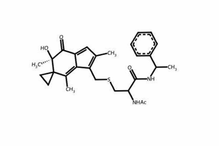 CC(=O)NC(CSCC1=C(C)C=C2C(=O)[C@](C)(O)C3(CC3)C(C)=C21)C(=O)NC(C)c1ccccc1